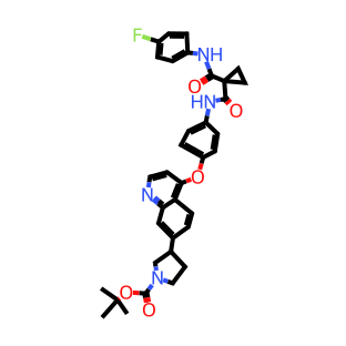 CC(C)(C)OC(=O)N1CCC(c2ccc3c(Oc4ccc(NC(=O)C5(C(=O)Nc6ccc(F)cc6)CC5)cc4)ccnc3c2)C1